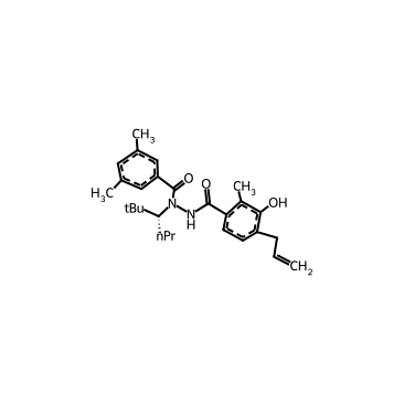 C=CCc1ccc(C(=O)NN(C(=O)c2cc(C)cc(C)c2)[C@H](CCC)C(C)(C)C)c(C)c1O